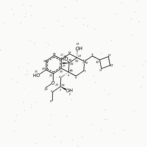 CC[C@H](O)C[C@]12CCN(CC3CCC3)[C@](O)(Cc3ccc(O)c(OC)c31)[C@@]2(C)O